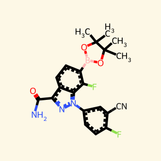 CC1(C)OB(c2ccc3c(C(N)=O)nn(-c4ccc(F)c(C#N)c4)c3c2F)OC1(C)C